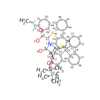 C=CCOC(=O)C(N1C(=O)[C@H](CO[Si](C)(C)C(C)(C)C)[C@H]1SC(c1ccccc1)(c1ccccc1)c1ccccc1)=P(c1ccccc1)(c1ccccc1)c1ccccc1